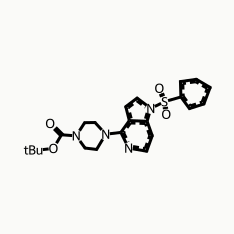 CC(C)(C)OC(=O)N1CCN(c2nccc3c2ccn3S(=O)(=O)c2ccccc2)CC1